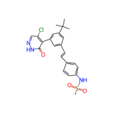 CC(C)(C)c1cc(C=Cc2ccc(NS(C)(=O)=O)cc2)cc(-c2c(Cl)cn[nH]c2=O)c1